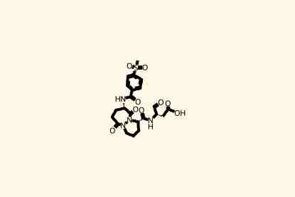 CS(=O)(=O)c1ccc(C(=O)N[C@H]2CCC(=O)N3CCC[C@@H](C(=O)N[C@H](C=O)CC(=O)O)N3C2=O)cc1